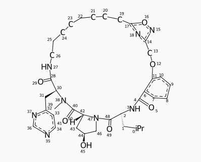 CC(C)C[C@H]1NC(=O)c2ccccc2OCc2noc(n2)CCCCCCCCNC(=O)[C@H](Cc2ccncn2)N(C)C(=O)[C@H]2C[C@H](O)CN2C1=O